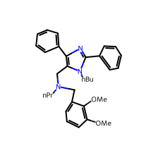 CCCCn1c(-c2ccccc2)nc(-c2ccccc2)c1CN(CCC)Cc1cccc(OC)c1OC